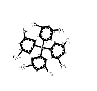 Cc1cc([B-](c2cc(C)cc(C(F)(F)F)c2)(c2cc(C)cc(C(F)(F)F)c2)c2cc(C)cc(C(F)(F)F)c2)cc(C(F)(F)F)c1